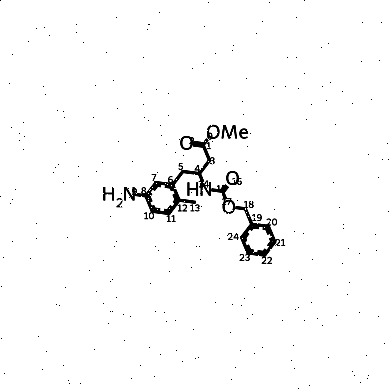 COC(=O)CC(Cc1cc(N)ccc1C)NC(=O)OCc1ccccc1